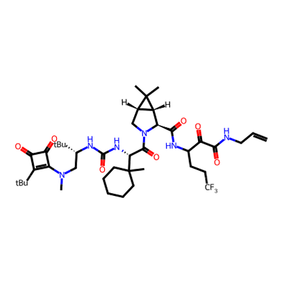 C=CCNC(=O)C(=O)C(CCC(F)(F)F)NC(=O)[C@@H]1[C@@H]2[C@H](CN1C(=O)[C@@H](NC(=O)N[C@H](CN(C)c1c(C(C)(C)C)c(=O)c1=O)C(C)(C)C)C1(C)CCCCC1)C2(C)C